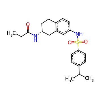 CCC(=O)N[C@@H]1CCc2ccc(NS(=O)(=O)c3ccc(C(C)C)cc3)cc2C1